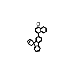 Clc1ccc(-c2ccc3c(c2)C2(CC4CCC2C4)c2ccccc2-3)c2ccccc12